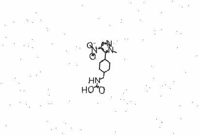 Cn1ncc([N+](=O)[O-])c1C1CCC(CNC(=O)O)CC1